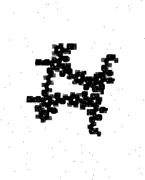 C=CCOC(=O)N[C@H](C(=O)N[C@@H](C)C(=O)Nc1ccc(COC(=O)Cc2cc(OCCCCCOc3cc(NC(=O)OCc4ccc(NC(=O)[C@H](C)NC(=O)[C@@H](NC(=O)OCC=C)C(C)C)cc4)c(C(=O)N4CCC[C@H]4CO)cc3OC)c(OC)cc2C(=O)N2CCC[C@H]2CC)cc1)C(C)C